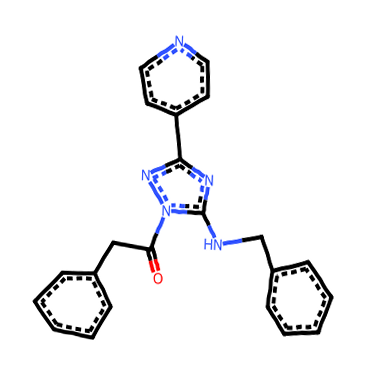 O=C(Cc1ccccc1)n1nc(-c2ccncc2)nc1NCc1ccccc1